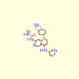 CCNC(=O)Nc1cc2c(-c3cccc(CN)c3)ccc(Nc3cccnc3)c2cn1